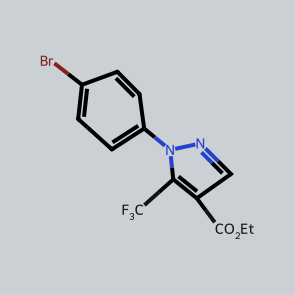 CCOC(=O)c1cnn(-c2ccc(Br)cc2)c1C(F)(F)F